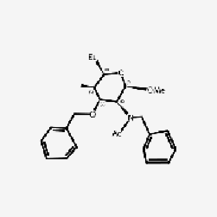 CC[C@H]1O[C@@H](OC)[C@@H](N(Cc2ccccc2)C(C)=O)[C@@H](OCc2ccccc2)[C@H]1C